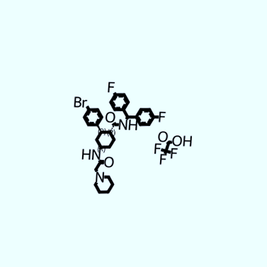 O=C(CN1CCCCC1)N[C@@H]1CC[C@@H](C(=O)NC(c2ccc(F)cc2)c2ccc(F)cc2)[C@H](c2ccc(Br)cc2)C1.O=C(O)C(F)(F)F